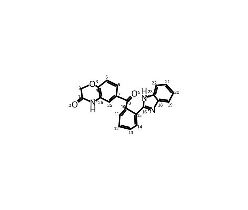 O=C1COc2ccc(C(=O)c3ccccc3-c3nc4ccccc4[nH]3)cc2N1